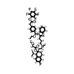 CCOC(c1ccc(CC(=O)Oc2c(F)c(F)c(F)c(F)c2F)cc1)n1c(CCCN(C)CC[C@@]2(OC(=O)COC)CCc3cc(F)ccc3[C@@H]2C(C)C)nc2ccccc21